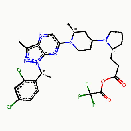 Cc1nn([C@H](C)c2ccc(Cl)cc2Cl)c2nc(N3CCC(N4CCC[C@H]4CCC(=O)OC(=O)C(F)(F)F)C[C@@H]3C)cnc12